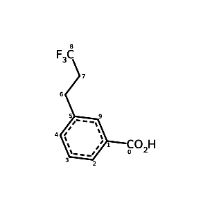 O=C(O)c1cccc(CCC(F)(F)F)c1